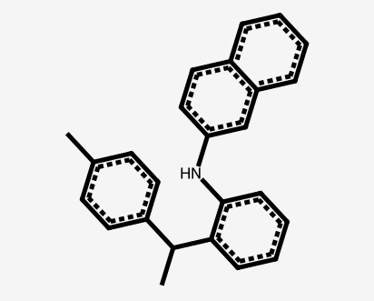 Cc1ccc(C(C)c2ccccc2Nc2ccc3ccccc3c2)cc1